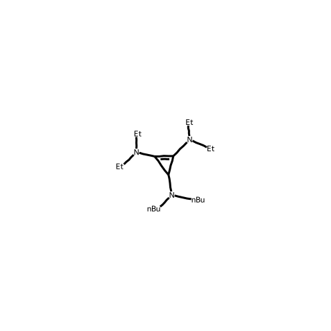 CCCCN(CCCC)C1C(N(CC)CC)=C1N(CC)CC